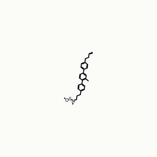 C=CCCc1ccc(-c2ccc(-c3ccc(CCCN(C)SOC)cc3)c(C)c2)cc1